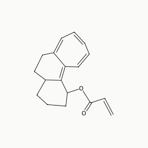 C=CC(=O)OC1CCCC2CCC3=CC=CC=CC3=C21